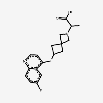 CC(C(=O)O)N1CC2(CC(Oc3ccnc4ccc(F)cc34)C2)C1